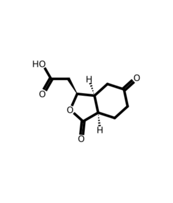 O=C(O)C[C@@H]1OC(=O)[C@@H]2CCC(=O)C[C@H]12